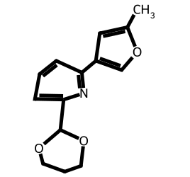 Cc1cc(-c2cccc(C3OCCCO3)n2)co1